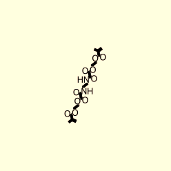 C=C(C)C(=O)OCCOC(=O)C(=O)NCCNC(=O)C(=O)OCCOC(=O)C(=C)C